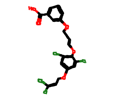 O=C(O)c1cccc(OCCCOc2c(Cl)cc(OCC=C(Cl)Cl)cc2Cl)c1